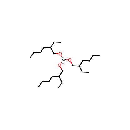 CCCCC(CC)CO[SiH](OCC(CC)CCCC)OCC(CC)CCCC